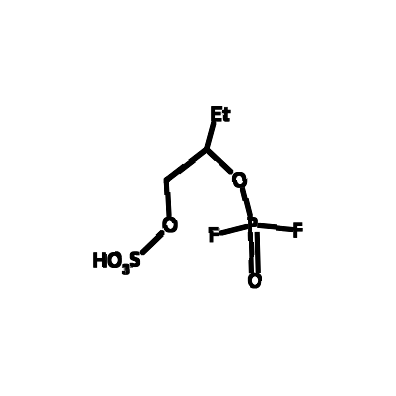 CCC(COS(=O)(=O)O)OP(=O)(F)F